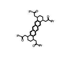 CC(C)C(=O)CC1CCC(CC(=O)C(C)C)c2cc3cc4cc5c(cc4cc3cc21)C(CC(=O)C(C)C)CCC5CC(=O)C(C)C